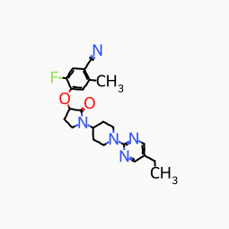 CCc1cnc(N2CCC(N3CCC(Oc4cc(C)c(C#N)cc4F)C3=O)CC2)nc1